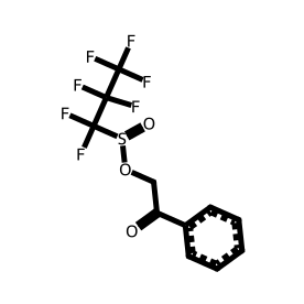 O=C(COS(=O)C(F)(F)C(F)(F)C(F)(F)F)c1ccccc1